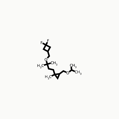 CC(C)OCC1CC1(C)CCC(C)(C)OCC1CC(F)(F)C1